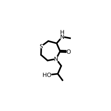 CNC1CSCCN(CC(C)O)C1=O